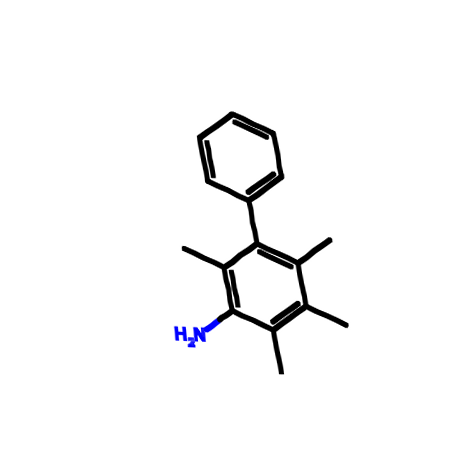 Cc1c(C)c(N)c(C)c(-c2ccccc2)c1C